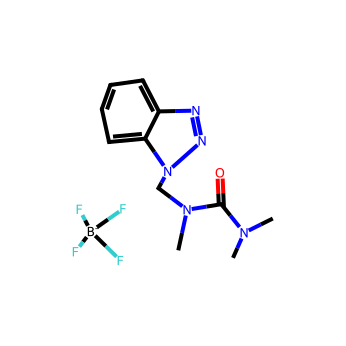 CN(C)C(=O)N(C)Cn1nnc2ccccc21.F[B-](F)(F)F